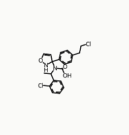 CC(c1ccccc1Cl)N(C(=O)O)C1(c2ccc(CCCl)cc2)C=CON1